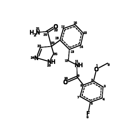 COc1ccc(F)cc1C(=O)NCc1ccccc1C1(C(N)=O)C=NNC1